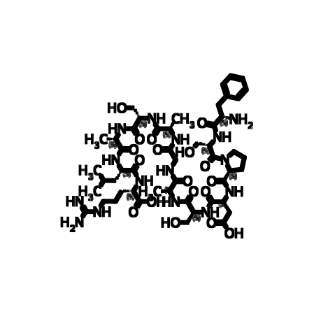 CC(C)C[C@H](NC(=O)[C@H](C)NC(=O)[C@H](CO)NC(=O)[C@H](C)NC(=O)CNC(=O)[C@H](C)NC(=O)[C@H](CO)NC(=O)[C@H](CC(=O)O)NC(=O)[C@@H]1CCCN1C(=O)[C@H](CO)NC(=O)[C@@H](N)Cc1ccccc1)C(=O)N[C@@H](CCCNC(=N)N)C(=O)O